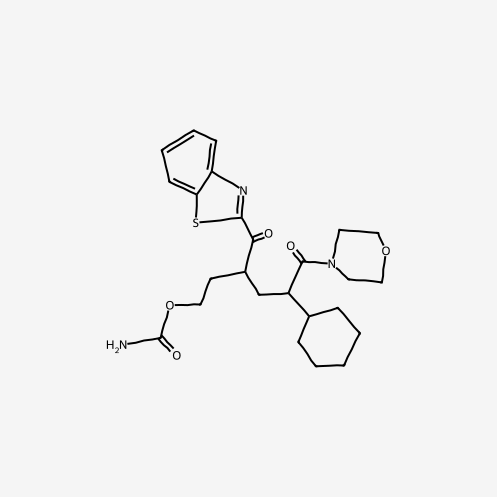 NC(=O)OCCC(CC(C(=O)N1CCOCC1)C1CCCCC1)C(=O)c1nc2ccccc2s1